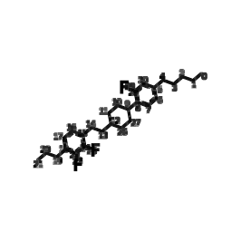 CCCCCc1ccc(C2CCC(CCc3ccc(CCC)c(F)c3F)CC2)c(F)c1